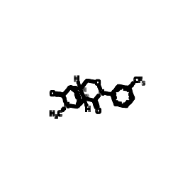 CN1C(=O)C2C=CC1[C@H]1C(=O)N(c3cccc(C(F)(F)F)c3)OC[C@@H]21